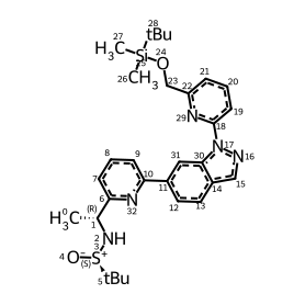 C[C@@H](N[S@+]([O-])C(C)(C)C)c1cccc(-c2ccc3cnn(-c4cccc(CO[Si](C)(C)C(C)(C)C)n4)c3c2)n1